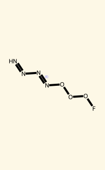 N=N/N=N/OOOF